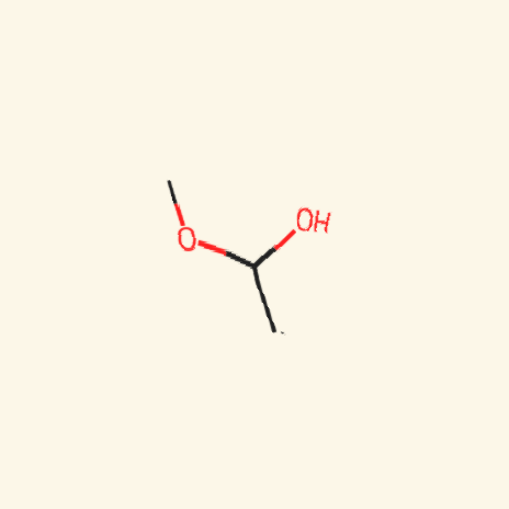 [CH2]C(O)OC